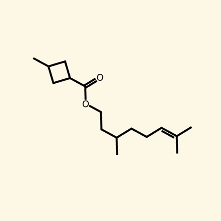 CC(C)=CCCC(C)CCOC(=O)C1CC(C)C1